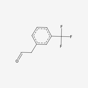 O=[C]Cc1cccc(C(F)(F)F)c1